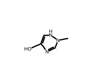 CN1[C]=NC(O)=CN1